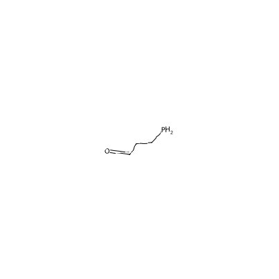 O=CCCP